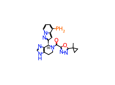 CC1(c2nnc(C(=O)N3CCc4[nH]cnc4[C@H]3c3cc4c(P)cccn4n3)o2)CC1